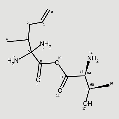 C=CCC(C)C(N)(N)C(=O)OC(=O)[C@@H](N)[C@@H](C)O